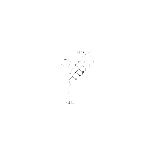 CCCCCCC(F)(F)C(F)(F)C(F)(F)C(F)(F)C(F)(F)C(F)(F)S(=O)(=O)O.c1ccncc1